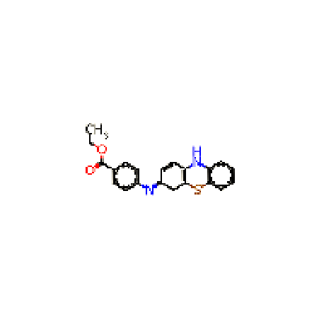 CCOC(=O)c1ccc(N=C2C=CC3=C(C2)Sc2ccccc2N3)cc1